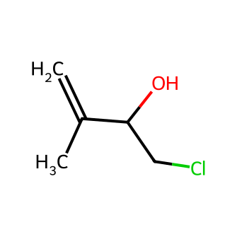 C=C(C)C(O)CCl